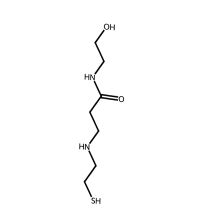 O=C(CCNCCS)NCCO